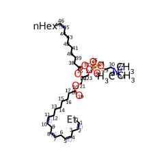 CC/C=C\C/C=C\C/C=C\C/C=C\CCCCCCC(=O)OC[C@H](COP(=O)([O-])OCC[N+](C)(C)C)OC(=O)CCCCCCC/C=C\CCCCCC